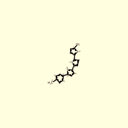 CCc1ccc(-c2ccc(-c3ccc(-c4ccc(C)cc4)s3)s2)s1